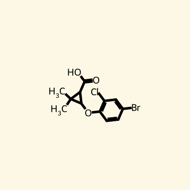 CC1(C)C(Oc2ccc(Br)cc2Cl)C1C(=O)O